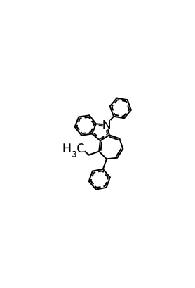 CCC1=c2c(n(-c3ccccc3)c3ccccc23)=CC=CC1c1ccccc1